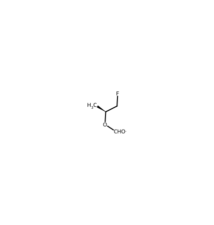 C[C@@H](CF)O[C]=O